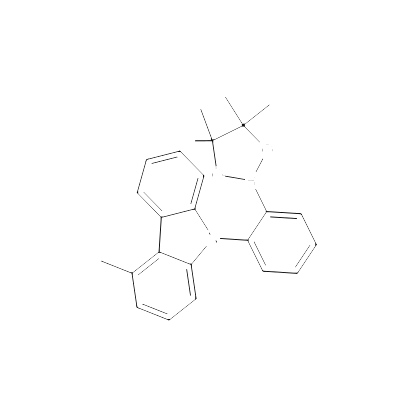 Cc1cccc2c1c1ccccc1n2-c1ccccc1B1OC(C)(C)C(C)(C)O1